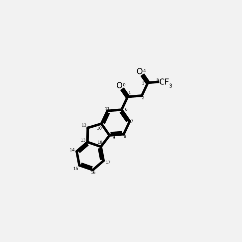 O=C(CC(=O)C(F)(F)F)c1ccc2c(c1)Cc1ccccc1-2